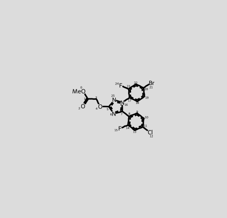 COC(=O)COc1nc(-c2ccc(Cl)cc2F)n(-c2ccc(Br)cc2F)n1